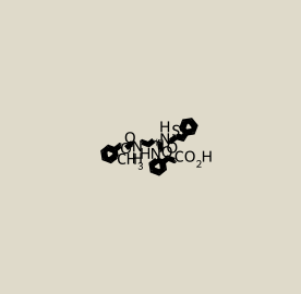 Cc1ccccc1COC(=O)NCCC[C@H](NC(=O)c1cc2ccccc2s1)C(=O)Nc1ccccc1CCC(=O)O